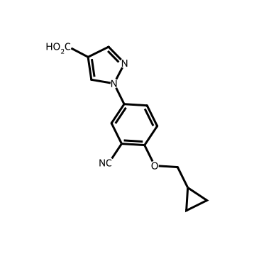 N#Cc1cc(-n2cc(C(=O)O)cn2)ccc1OCC1CC1